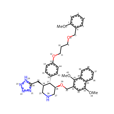 COc1ccccc1COCCCOc1ccc([C@H]2[C@H](Cc3nnn[nH]3)CNC[C@@H]2OCc2cc(OC)c3ccccc3c2OC)cc1